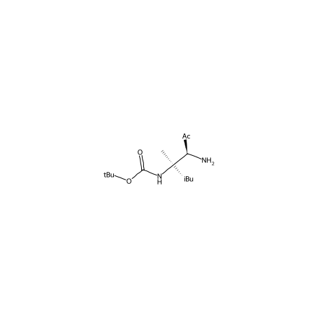 CC[C@@H](C)[C@@](C)(NC(=O)OC(C)(C)C)[C@H](N)C(C)=O